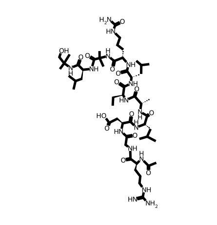 CC[C@H](NC(=O)[C@H](C)NC(=O)[C@H](CC(C)C)NC(=O)[C@H](CC(=O)O)NC(=O)CNC(=O)[C@H](CCCNC(=N)N)NC(C)=O)C(=O)N[C@@H](CC(C)C)C(=O)N[C@@H](CCCNC(N)=O)C(=O)NC(C)(C)C(=O)N[C@@H](CC(C)C)C(=O)NC(C)(C)CO